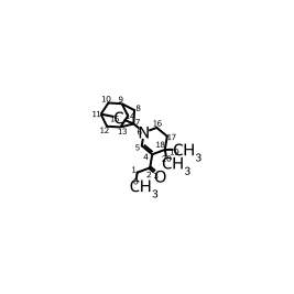 CCC(=O)C1=CN(C23CC4CC(CC2C4)C3)CCC1(C)C